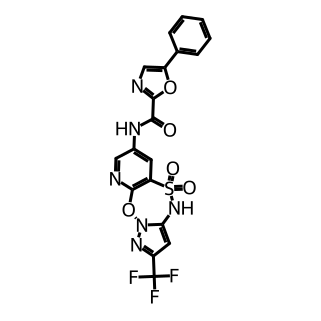 O=C(Nc1cnc2c(c1)S(=O)(=O)Nc1cc(C(F)(F)F)nn1O2)c1ncc(-c2ccccc2)o1